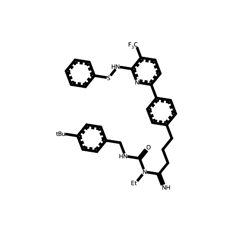 CCN(C(=N)CCCc1ccc(-c2ccc(C(F)(F)F)c(NSc3ccccc3)n2)cc1)C(=O)NCc1ccc(C(C)(C)C)cc1